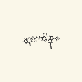 Cc1cc(-c2nc(C#N)nc3c2ccn3C2COC2)ccc1OCCC1CCN(C(=O)[C@@H]2CCCN2C)CC1